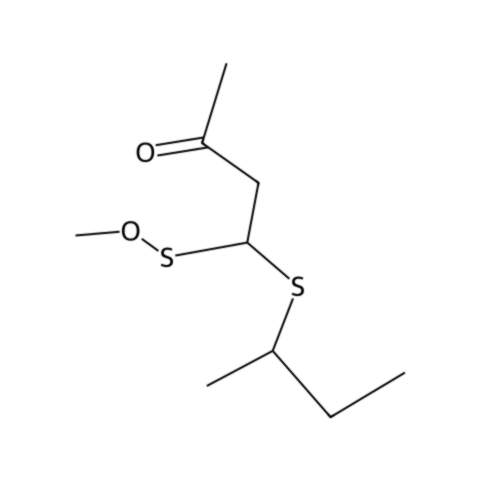 CCC(C)SC(CC(C)=O)SOC